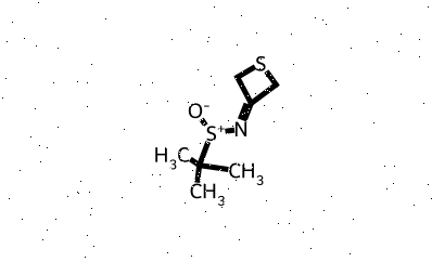 CC(C)(C)[S+]([O-])N=C1CSC1